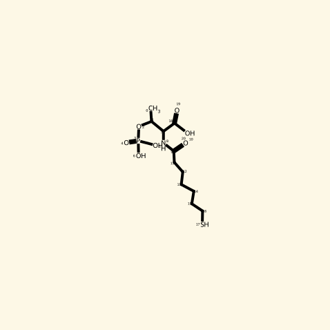 CC(OP(=O)(O)O)C(NC(=O)CCCCCCS)C(=O)O